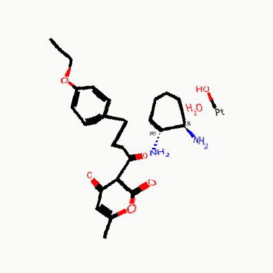 CCOc1ccc(CCC(=O)C2C(=O)C=C(C)OC2=O)cc1.N[C@@H]1CCCC[C@H]1N.O.[OH][Pt]